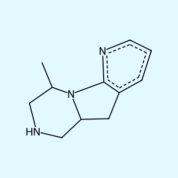 CC1CNCC2Cc3cccnc3N12